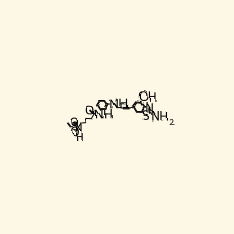 C=CS(=O)(=O)NCCCCC(=O)Nc1cccc(NCC#Cc2cc(O)c3nc(N)sc3c2)c1